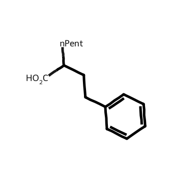 CCCCCC(CCc1ccccc1)C(=O)O